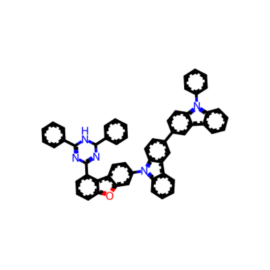 c1ccc(C2=NC(c3cccc4oc5cc(-n6c7ccccc7c7cc(-c8ccc9c(c8)c8ccccc8n9-c8ccccc8)ccc76)ccc5c34)=NC(c3ccccc3)N2)cc1